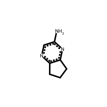 Nc1cnc2c(n1)CCC2